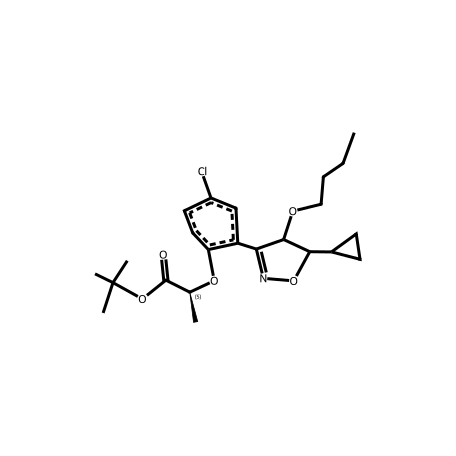 CCCCOC1C(c2cc(Cl)ccc2O[C@@H](C)C(=O)OC(C)(C)C)=NOC1C1CC1